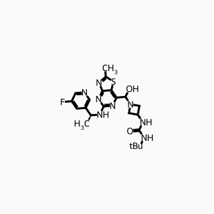 Cc1nc2nc(N[C@@H](C)c3cncc(F)c3)nc(C(O)N3CC(NC(=O)NC(C)(C)C)C3)c2s1